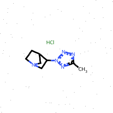 Cc1nnn(C2CN3CCC2C3)n1.Cl